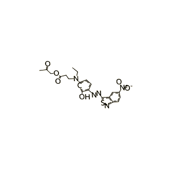 CCN(CCC(=O)OCC(C)=O)c1ccc(/N=N/c2snc3ccc([N+](=O)[O-])cc23)c(O)c1